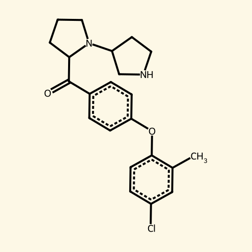 Cc1cc(Cl)ccc1Oc1ccc(C(=O)C2CCCN2C2CCNC2)cc1